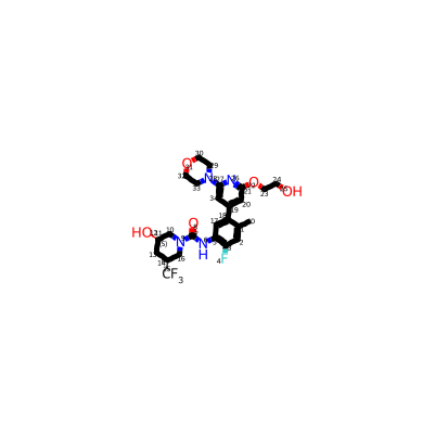 Cc1cc(F)c(NC(=O)N2C[C@@H](O)C[C@@H](C(F)(F)F)C2)cc1-c1cc(OCCO)nc(N2CCOCC2)c1